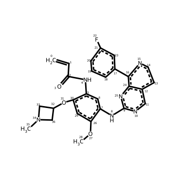 C=CC(=O)Nc1cc(Nc2ncc3ccnc(-c4cccc(F)c4)c3n2)c(OC)cc1OC1CN(C)C1